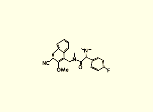 COc1c(C#N)cc2ccccc2c1CN(C)C(=O)C(c1ccc(F)cc1)N(C)C